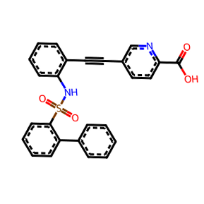 O=C(O)c1ccc(C#Cc2ccccc2NS(=O)(=O)c2ccccc2-c2ccccc2)cn1